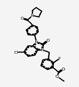 COC(=O)c1cccc(Cn2c(=O)n(-c3ccc(C(=O)N4CCCC4)cc3)c3cc(Cl)ccc32)c1F